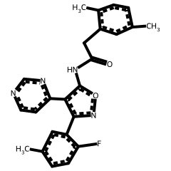 Cc1ccc(C)c(CC(=O)Nc2onc(-c3cc(C)ccc3F)c2-c2ccncn2)c1